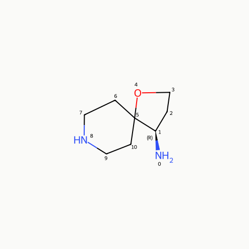 N[C@@H]1CCOC12CCNCC2